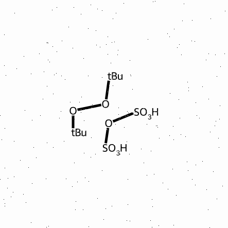 CC(C)(C)OOC(C)(C)C.O=S(=O)(O)OS(=O)(=O)O